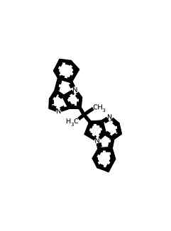 CC(C)(c1cn2c3ccccc3c3ccnc1c32)c1cn2c3ccccc3c3ccnc1c32